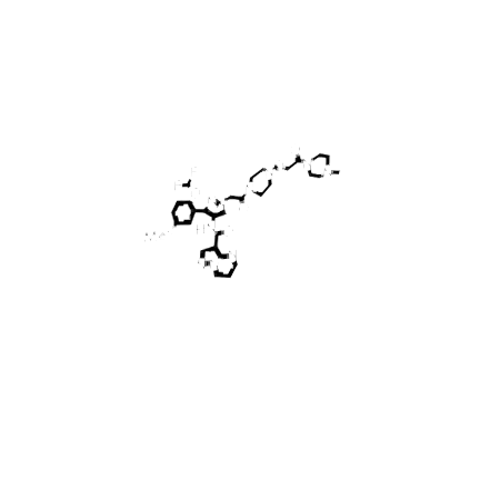 CSc1ccc(OC(F)F)c(-c2nn(CC(=O)N3CCN(OCC(=O)N4CCN(C)CC4)CC3)cc2NC(=O)c2cnn3cccnc23)c1